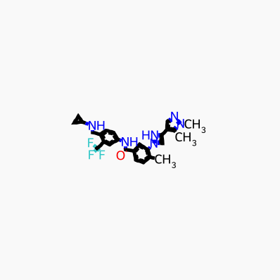 Cc1ccc(C(=O)Nc2ccc(CNC3CC3)c(C(F)(F)F)c2)cc1-n1cc(-c2cnn(C)c2C)[nH]1